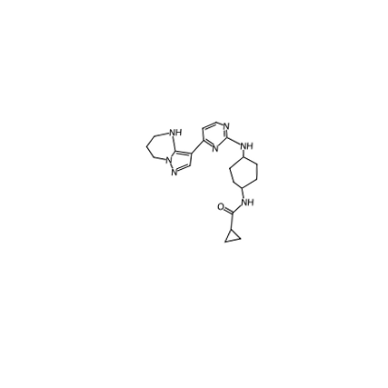 O=C(NC1CCC(Nc2nccc(-c3cnn4c3NCCC4)n2)CC1)C1CC1